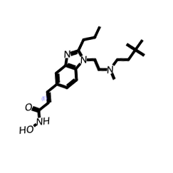 CCCc1nc2cc(/C=C/C(=O)NO)ccc2n1CCN(C)CCC(C)(C)C